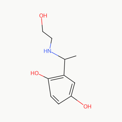 CC(NCCO)c1cc(O)ccc1O